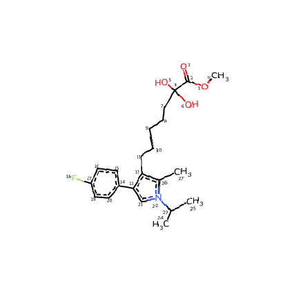 COC(=O)C(O)(O)CCCCCc1c(-c2ccc(F)cc2)cn(C(C)C)c1C